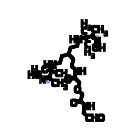 C/C(=N/O)C(C)(C)NCCC(CCNC(=O)COCC(=O)NCC=O)CCNC(C)(C)/C(C)=N\O